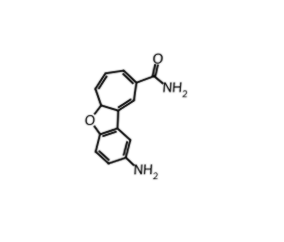 NC(=O)C1=CC=CC2Oc3ccc(N)cc3C2=C1